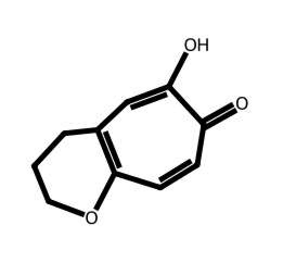 O=c1ccc2c(cc1O)CCCO2